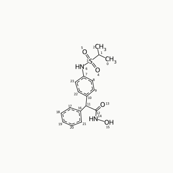 CC(C)S(=O)(=O)Nc1ccc(C(C(=O)NO)c2ccccc2)cc1